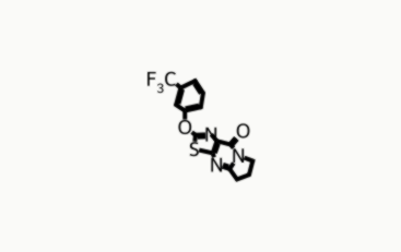 O=c1c2nc(Oc3cccc(C(F)(F)F)c3)sc2nc2n1CCC2